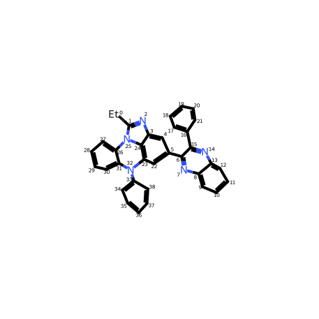 CCc1nc2cc(-c3nc4ccccc4nc3-c3ccccc3)cc3c2n1-c1ccccc1N3c1ccccc1